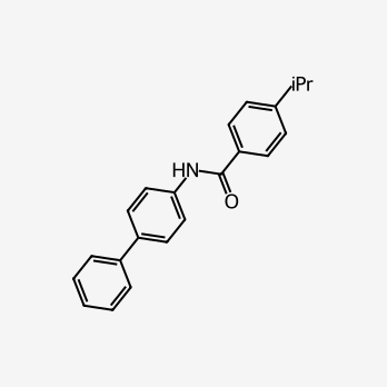 CC(C)c1ccc(C(=O)Nc2ccc(-c3ccccc3)cc2)cc1